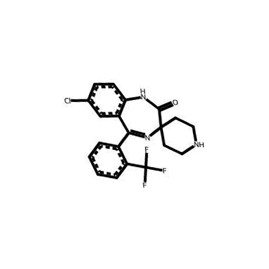 O=C1Nc2ccc(Cl)cc2C(c2ccccc2C(F)(F)F)=NC12CCNCC2